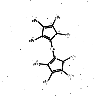 CCCC1=C(CCC)C(CCC)[C]([Ca][C]2=C(CCC)C(CCC)=C(CCC)C2CCC)=C1CCC